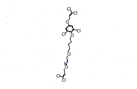 ClC(Cl)=CCO/N=C/COCCCCCOc1c(Cl)cc(OCC=C(Cl)Cl)cc1Cl